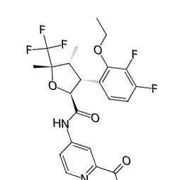 CCOc1c([C@@H]2[C@@H](C(=O)Nc3ccnc(C(C)=O)c3)O[C@](C)(C(F)(F)F)[C@@H]2C)ccc(F)c1F